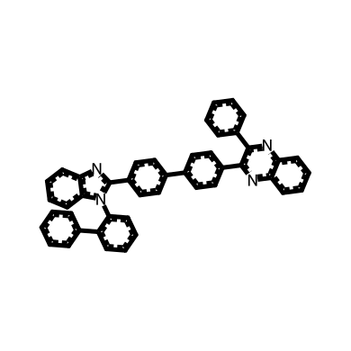 c1ccc(-c2ccccc2-n2c(-c3ccc(-c4ccc(-c5nc6ccccc6nc5-c5ccccc5)cc4)cc3)nc3ccccc32)cc1